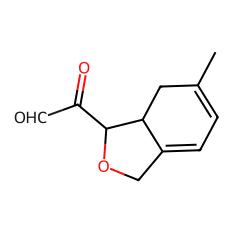 CC1=CC=C2COC(C(=O)C=O)C2C1